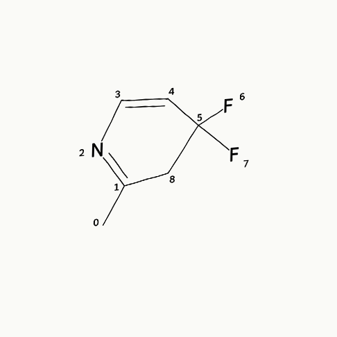 CC1=NC=CC(F)(F)C1